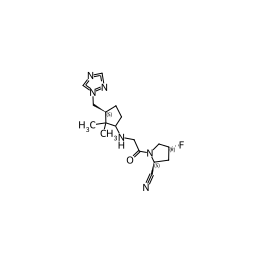 CC1(C)C(NCC(=O)N2C[C@H](F)C[C@H]2C#N)CC[C@@H]1Cn1cncn1